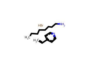 Br.C=Cc1ccncc1.CCCCCCCCN